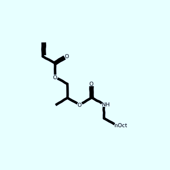 C=CC(=O)OCC(C)OC(=O)NCCCCCCCCC